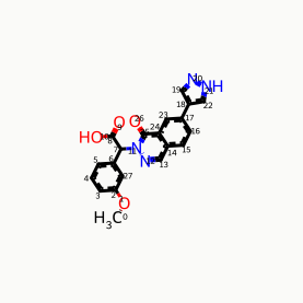 COc1cccc(C(C(=O)O)n2ncc3ccc(-c4cn[nH]c4)cc3c2=O)c1